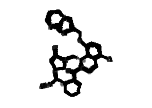 CNC(=O)[C@@H]1CCCCC1C(=O)N1CCc2c(Cl)ccc(OCc3cn4cccnc4n3)c2[C@H]1CN1CCCC1=O